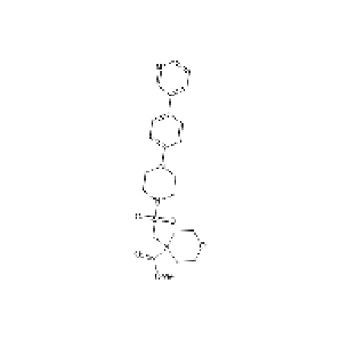 COC(=O)C1(CS(=O)(=O)N2CCN(c3ccc(-c4cccnc4)cc3)CC2)CCOCC1